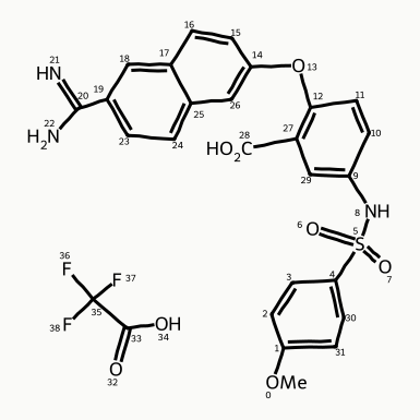 COc1ccc(S(=O)(=O)Nc2ccc(Oc3ccc4cc(C(=N)N)ccc4c3)c(C(=O)O)c2)cc1.O=C(O)C(F)(F)F